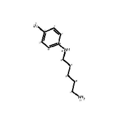 CC(C)c1ccc(NCCCCCN)cc1